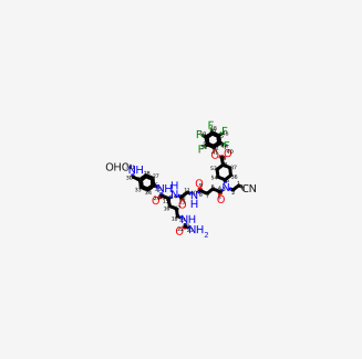 N#CCCN(C(=O)CCC(=O)NCC(=O)NC(CCCNC(N)=O)C(=O)Nc1ccc(CNC=O)cc1)C1CCC(C(=O)Oc2c(F)c(F)c(F)c(F)c2F)CC1